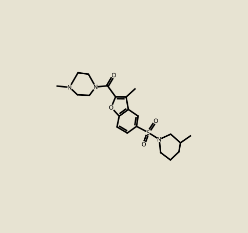 Cc1c(C(=O)N2CCN(C)CC2)oc2ccc(S(=O)(=O)N3CCCC(C)C3)cc12